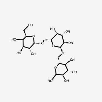 OC[C@H]1O[C@H](OC[C@H]2O[C@H](OC[C@H]3OC(O)[C@H](O)[C@@H](O)[C@@H]3O)[C@H](O)[C@@H](O)[C@H]2O)[C@H](O)[C@@H](O)[C@H]1O